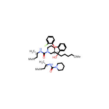 CNC[C@H](C)NC(=O)N1CCCCC1.CNC[C@H](C)NC(=O)N1CCC[C@@H]([C@@](O)(CCCCOC)c2ccccc2Oc2ccccc2F)C1